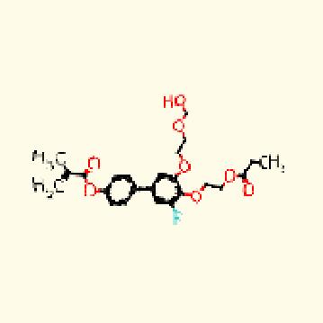 C=C(C)C(=O)Oc1ccc(-c2cc(F)c(OCCOC(=O)CC)c(OCCOCO)c2)cc1